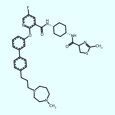 CC1=NC(C(=O)N[C@H]2CC[C@@H](NC(=O)c3cc(F)cnc3Oc3cccc(-c4ccc(CCCN5CCCN(C)CC5)cc4)c3)CC2)CS1